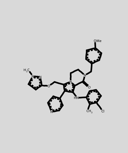 COc1ccc(CN2CCn3c(COc4ccn(C)n4)c(-c4ccncc4)c(Nc4cccc(Cl)c4C)c3C2=O)cc1